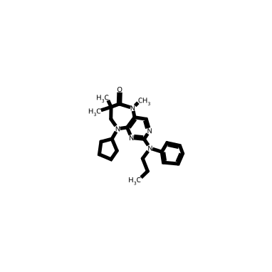 CCCN(c1ccccc1)c1ncc2c(n1)N(C1CCCC1)CC(C)(C)C(=O)N2C